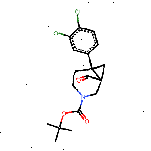 CC(C)(C)OC(=O)N1CCC2(c3ccc(Cl)c(Cl)c3)CC2(C=O)C1